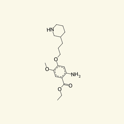 CCOC(=O)c1cc(OC)c(OCCCC2CCCNC2)cc1N